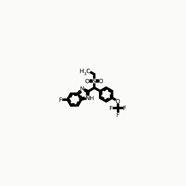 CCS(=O)(=O)C(c1ccc(OC(F)(F)F)cc1)c1nc2cc(F)ccc2[nH]1